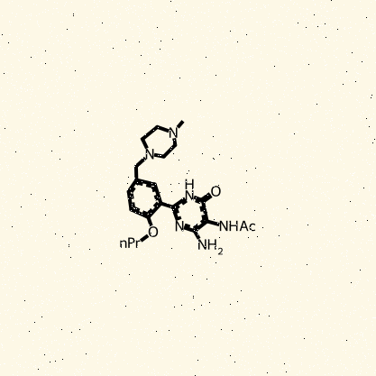 CCCOc1ccc(CN2CCN(C)CC2)cc1-c1nc(N)c(NC(C)=O)c(=O)[nH]1